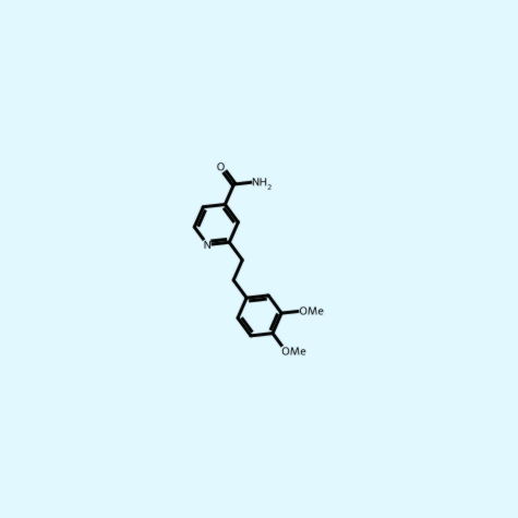 COc1ccc(CCc2cc(C(N)=O)ccn2)cc1OC